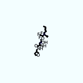 C#C/C(=C\C=C=CC)C(OC/C(O)=C/C(=N)C(=O)NCC1CCOC1)C(F)(F)F